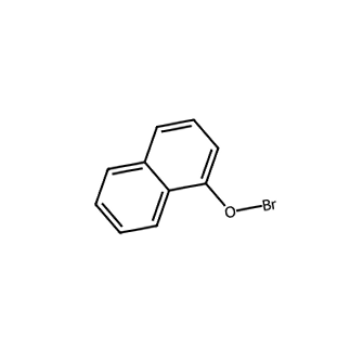 BrOc1cccc2ccccc12